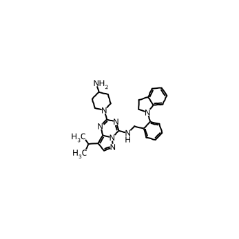 CC(C)c1cnn2c(NCc3ccccc3N3CCc4ccccc43)nc(N3CCC(N)CC3)nc12